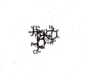 CC(C)(C)OC(=O)N1C[C@H]2CC[C@@H](C1)N2c1nc(Cl)nc2c(F)c(Cl)ncc12